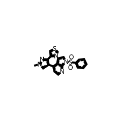 Cn1cc(-c2ccnc3c2ccn3S(=O)(=O)c2ccccc2)c(-c2cscn2)n1